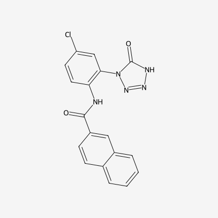 O=C(Nc1ccc(Cl)cc1-n1nn[nH]c1=O)c1ccc2ccccc2c1